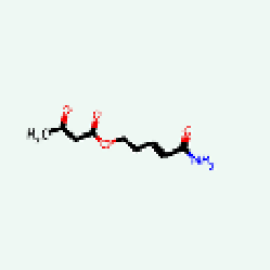 CC(=O)CC(=O)OCCC=CC(N)=O